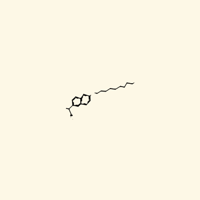 CCCCCCCCCCOc1ccc2cc(C(C)C#N)ccc2c1